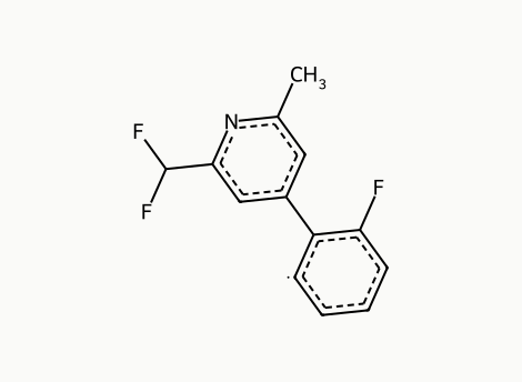 Cc1cc(-c2[c]cccc2F)cc(C(F)F)n1